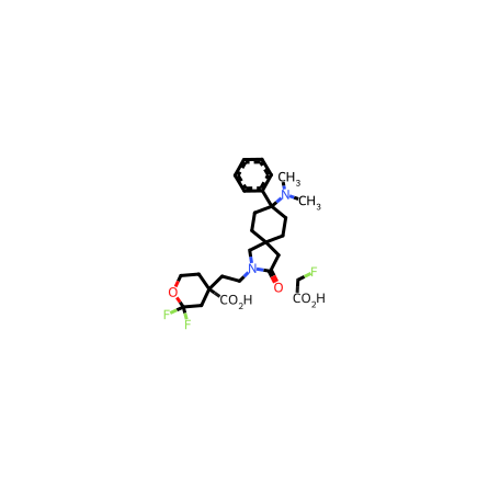 CN(C)C1(c2ccccc2)CCC2(CC1)CC(=O)N(CCC1(C(=O)O)CCOC(F)(F)C1)C2.O=C(O)CF